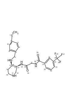 CSc1ccc(CN[C@@H]2CCNC[C@@H]2NC(=O)CNC(=O)c2cccc(C(F)(F)F)c2)cc1